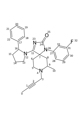 CC#CCN1CCC2(CC1C)C(N1CCCC1c1ccccc1)=NC(=O)N2c1cccc(F)c1